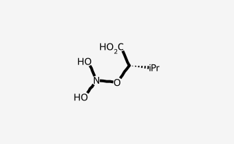 CC(C)[C@H](ON(O)O)C(=O)O